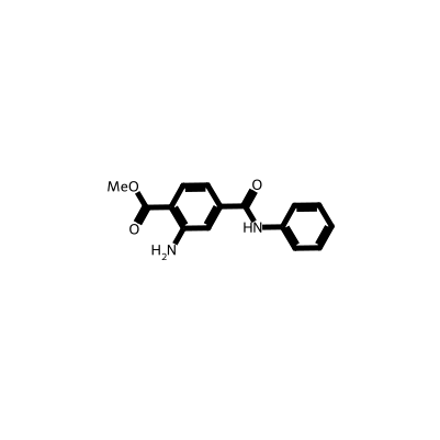 COC(=O)c1ccc(C(=O)Nc2ccccc2)cc1N